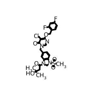 CC(C)(O)CC(=O)N1CN(S(C)(=O)=O)c2ccc(Cn3cnc(OCc4ccc(F)cc4F)c(Cl)c3=O)cc21